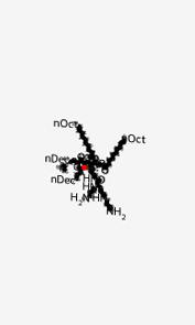 CCCCCCCCC=CCCCCCCCC(=O)OCC(OC(=O)CCCCCCCC=CCCCCCCCC)C(CC(CC(=O)CCCCCCCCCCCCC)C(=O)CCCCCCCCCCCCC)[N+](C)(C)CCNC(=O)C(CCCNCCCN)NCCCN.CN(C)C